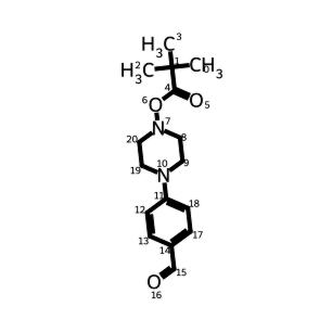 CC(C)(C)C(=O)ON1CCN(c2ccc(C=O)cc2)CC1